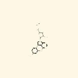 N#Cc1ccc2c(c1)Nc1ncnc3c1c-2cn3C1OC(COP(=O)(O)O)C(O)C1O